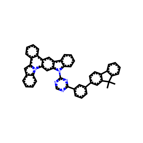 CC1(C)c2ccccc2-c2ccc(-c3cccc(-c4ncnc(-n5c6ccccc6c6cc7c8ccccc8c8cc9ccccc9n8c7cc65)n4)c3)cc21